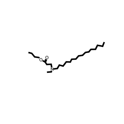 CCCCCCCCCCCCCCCCN(CC)CCC(=O)OCCCC